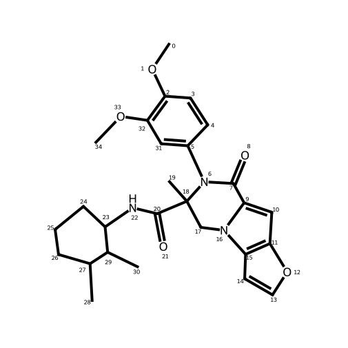 COc1ccc(N2C(=O)c3cc4occc4n3CC2(C)C(=O)NC2CCCC(C)C2C)cc1OC